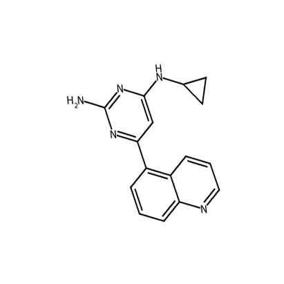 Nc1nc(NC2CC2)cc(-c2cccc3ncccc23)n1